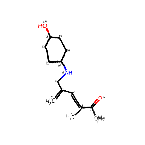 C=C(/C=C(\C)C(=O)OC)CNC1CCC(O)CC1